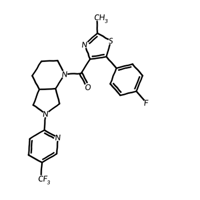 Cc1nc(C(=O)N2CCCC3CN(c4ccc(C(F)(F)F)cn4)CC32)c(-c2ccc(F)cc2)s1